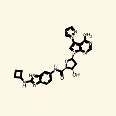 Nc1ncnc2c1c(-n1cccn1)cn2[C@H]1C[C@H](O)[C@@H](C(=O)Nc2ccc3nc(NC4CCC4)[nH]c3c2)O1